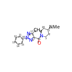 CNC1CCN(C(=O)c2nn(-c3ccccc3)nc2C)CC1